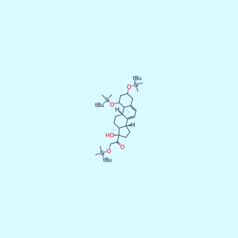 CC(C)(C)[Si](C)(C)OCC(=O)[C@@]1(O)CC[C@H]2C3=CC=C4CC(O[Si](C)(C)C(C)(C)C)CC(O[Si](C)(C)C(C)(C)C)[C@]4(C)[C@H]3CC[C@@]21C